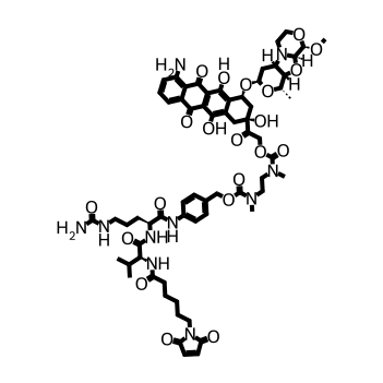 CO[C@H]1OCCN2[C@@H]1O[C@@H]1[C@H](C)O[C@@H](O[C@H]3C[C@](O)(C(=O)COC(=O)N(C)CCN(C)C(=O)OCc4ccc(NC(=O)[C@H](CCCNC(N)=O)NC(=O)[C@@H](NC(=O)CCCCCN5C(=O)C=CC5=O)C(C)C)cc4)Cc4c(O)c5c(c(O)c43)C(=O)c3c(N)cccc3C5=O)C[C@@H]12